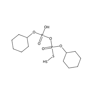 O=P(O)(OC1CCCCC1)OP(=O)(OC1CCCCC1)SS